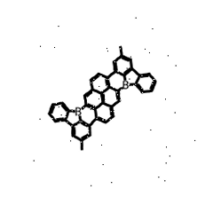 Cc1cc2c3c(c1)-c1ccc4cc5c6c(ccc7cc(c1c4c76)B3c1ccccc1-2)-c1cc(C)cc2c1B5c1ccccc1-2